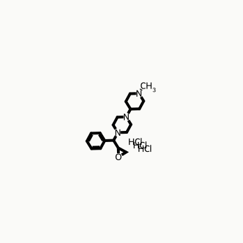 CN1CCC(N2CCN(C(c3ccccc3)C3CO3)CC2)CC1.Cl.Cl.Cl